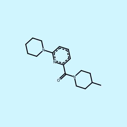 CC1CCN(C(=O)c2cccc(N3CCCCC3)n2)CC1